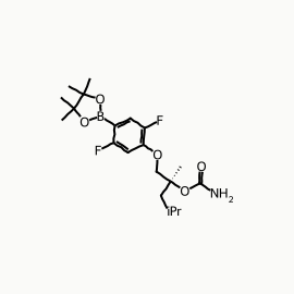 CC(C)C[C@@](C)(COc1cc(F)c(B2OC(C)(C)C(C)(C)O2)cc1F)OC(N)=O